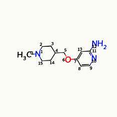 CN1CCC(COc2ccnc(N)c2)CC1